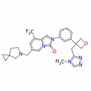 Cn1cnnc1CC1(c2cccc(-n3cc4c(C(F)(F)F)cc(CN5CCC6(CC6)C5)cn4c3=O)c2)COC1